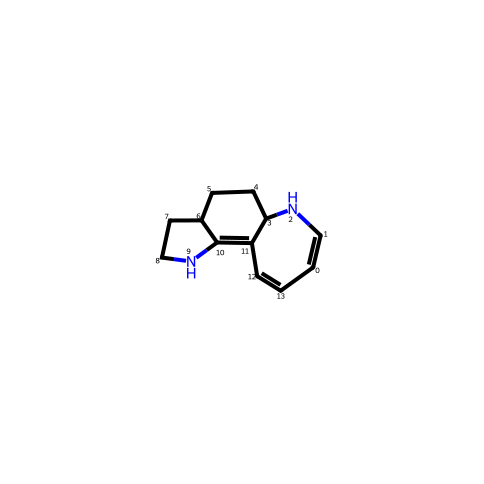 C1=CNC2CCC3CCNC3=C2C=C1